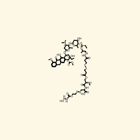 CC[C@@H](OC(C)/C=N\NC(=O)CCSSCCC(=O)OCC(NC)C(=O)NC(CSSCCOC(=O)NNO)C(=O)O)O[C@@H]1C(C)O[C@@H](O[C@H]2C(C)O[C@@H](O[C@H]3C[C@](O)(CC)[C@H](C(=O)OC)c4cc5c(c(O)c43)C(=O)c3c(cccc3OC)C5)C[C@H]2N(C)C)C[C@H]1O